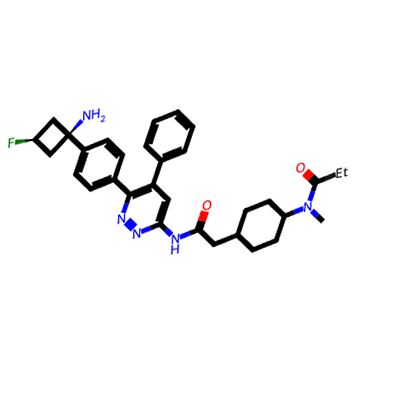 CCC(=O)N(C)C1CCC(CC(=O)Nc2cc(-c3ccccc3)c(-c3ccc([C@]4(N)C[C@@H](F)C4)cc3)nn2)CC1